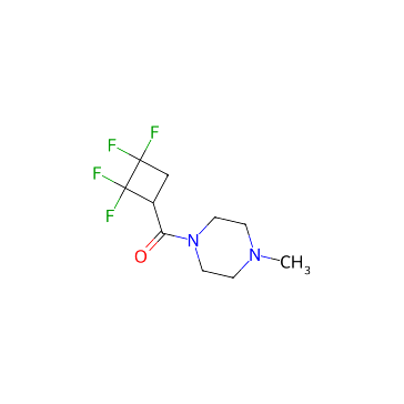 CN1CCN(C(=O)C2CC(F)(F)C2(F)F)CC1